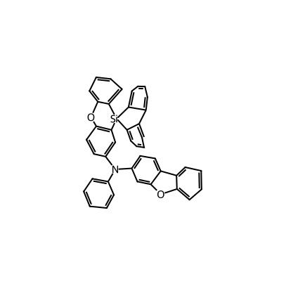 c1ccc(N(c2ccc3c(c2)[Si]2(c4ccccc4O3)c3ccccc3-c3ccccc32)c2ccc3c(c2)oc2ccccc23)cc1